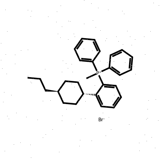 CCC[C@H]1CC[C@H](c2ccccc2[P+](C)(c2ccccc2)c2ccccc2)CC1.[Br-]